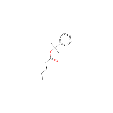 CCCCC(=O)O[Si](C)(C)c1ccccc1